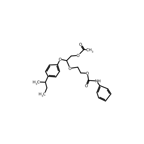 CCC(C)c1ccc(OC(COC(C)=O)OCCOC(=O)Nc2ccccc2)cc1